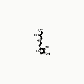 CCC(O)CNCC[C@@H]1NC[C@H](O)[C@@H]1O